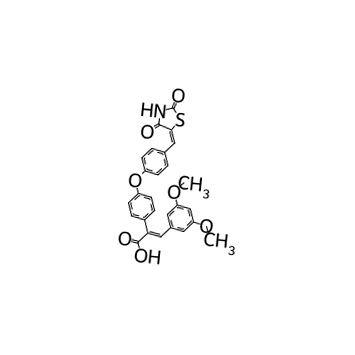 COc1cc(/C=C(/C(=O)O)c2ccc(Oc3ccc(/C=C4/SC(=O)NC4=O)cc3)cc2)cc(OC)c1